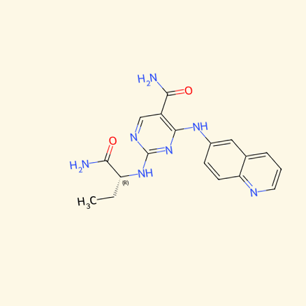 CC[C@@H](Nc1ncc(C(N)=O)c(Nc2ccc3ncccc3c2)n1)C(N)=O